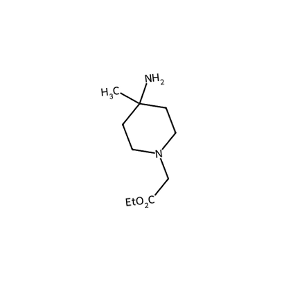 CCOC(=O)CN1CCC(C)(N)CC1